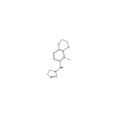 Cc1c(NN2C=NCC2)ccc2c1OCCO2